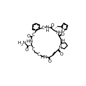 NC(=O)[C@@H]1CCCCNC(=O)/C=C/C(=O)N2CCC[C@H]2CC(=O)N[C@@H](Cc2ccco2)C(=O)NCc2ccccc2CC(=O)N1